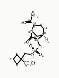 CCOC(=O)C1(COS(=O)(=O)ON2C(=O)N3C[C@H]2CC[C@H]3C(N)=O)CCC1